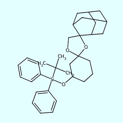 CC(C)(C)[Si](OC1CCCC2(C1)OCC1(O2)C2CC3CC(C2)CC1C3)(c1ccccc1)c1ccccc1